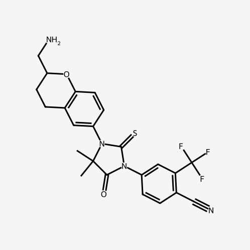 CC1(C)C(=O)N(c2ccc(C#N)c(C(F)(F)F)c2)C(=S)N1c1ccc2c(c1)CCC(CN)O2